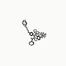 COc1c(C(C)C)cccc1N(C(=O)CCl)C(C(=O)C(C)C1CCCCC1)c1ccc(CCCCCN2CCN(C)CC2)cc1